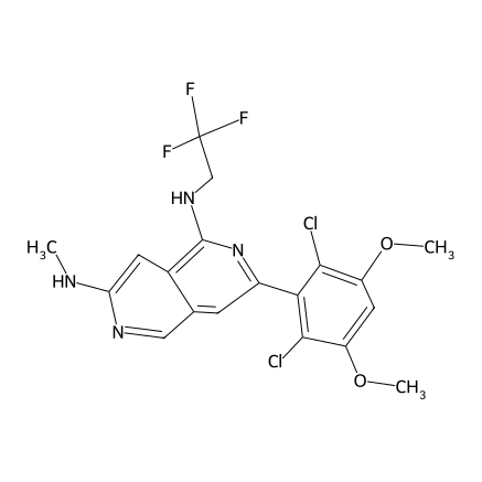 CNc1cc2c(NCC(F)(F)F)nc(-c3c(Cl)c(OC)cc(OC)c3Cl)cc2cn1